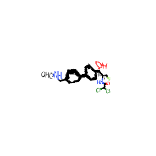 O=CNCc1ccc(-c2ccc([C@@H](O)[C@@H](CF)NC(=O)C(Cl)Cl)cc2)cc1